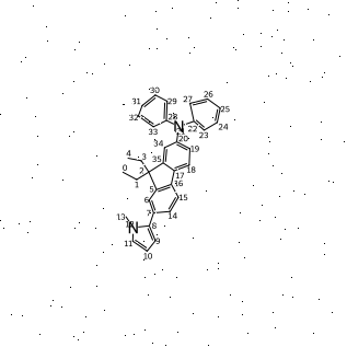 CCC1(CC)c2cc(-c3cccn3C)ccc2-c2ccc(N(c3ccccc3)c3ccccc3)cc21